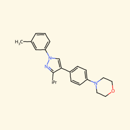 Cc1cccc(-n2cc(-c3ccc(N4CCOCC4)cc3)c(C(C)C)n2)c1